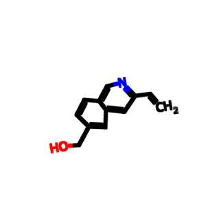 C=Cc1cc2cc(CO)ccc2cn1